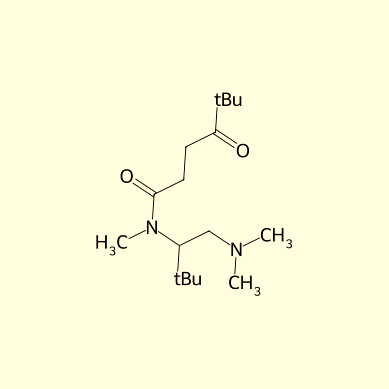 CN(C)CC(N(C)C(=O)CCC(=O)C(C)(C)C)C(C)(C)C